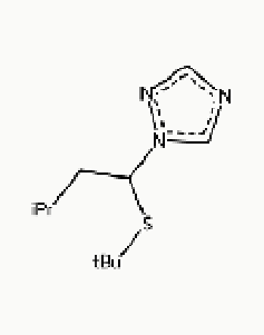 CC(C)CC(SC(C)(C)C)n1cncn1